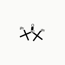 CC(C)C(C)(C)[N+](=O)C(C)(C)C(C)C